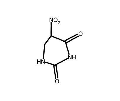 O=C1NCC([N+](=O)[O-])C(=O)N1